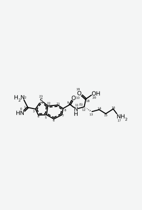 N=C(N)c1cc2ccc(C(=O)N[C@@H](CCCCN)C(=O)O)cc2s1